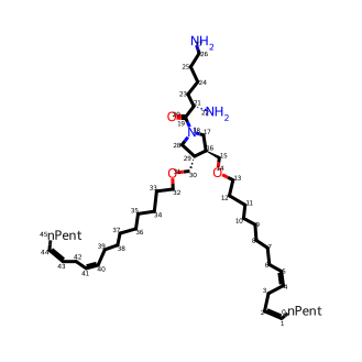 CCCCC/C=C\C/C=C\CCCCCCCCOC[C@@H]1CN(C(=O)[C@@H](N)CCCCN)C[C@H]1COCCCCCCCC/C=C\C/C=C\CCCCC